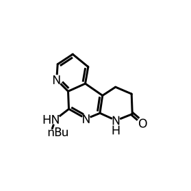 CCCCNc1nc2c(c3cccnc13)CCC(=O)N2